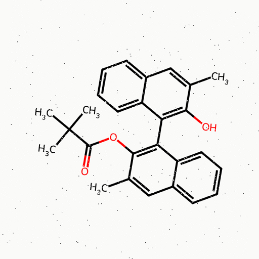 Cc1cc2ccccc2c(-c2c(OC(=O)C(C)(C)C)c(C)cc3ccccc23)c1O